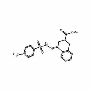 COC(=O)C1CC(=NNS(=O)(=O)c2ccc(C)cc2)c2ccccc2C1